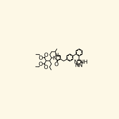 CCCC(C(C(=O)OCC)C(=O)OCC)C1CCC(C)n2cc(Cc3ccc(-c4ccccc4-c4nnn[nH]4)cc3)c(=O)n21